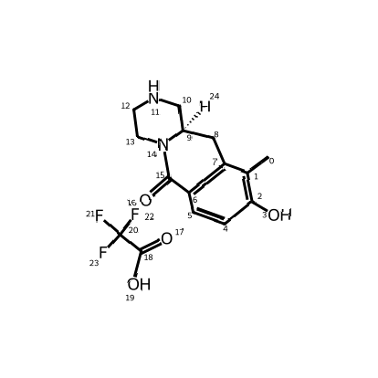 Cc1c(O)ccc2c1C[C@@H]1CNCCN1C2=O.O=C(O)C(F)(F)F